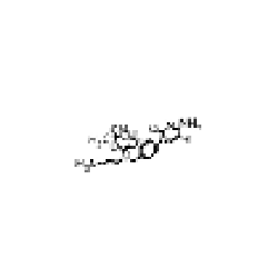 CCCCN(Cc1ccc(-n2cc(I)c(N)nc2=O)cc1)C(=O)OC(C)(C)C